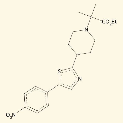 CCOC(=O)C(C)(C)N1CCC(c2ncc(-c3ccc([N+](=O)[O-])cc3)s2)CC1